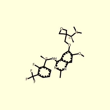 COc1cc2nc(C)nc(N[C@H](C)c3cccc(C(F)(F)F)c3F)c2cc1OCC1([C@H](C)N(C)C)COC1